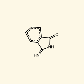 N=C1NC(=O)c2ccccc21